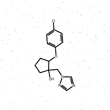 OC1(Cn2cncn2)CCCC1Oc1ccc(Cl)cc1